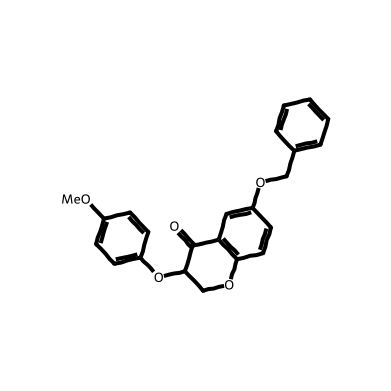 COc1ccc(OC2COc3ccc(OCc4ccccc4)cc3C2=O)cc1